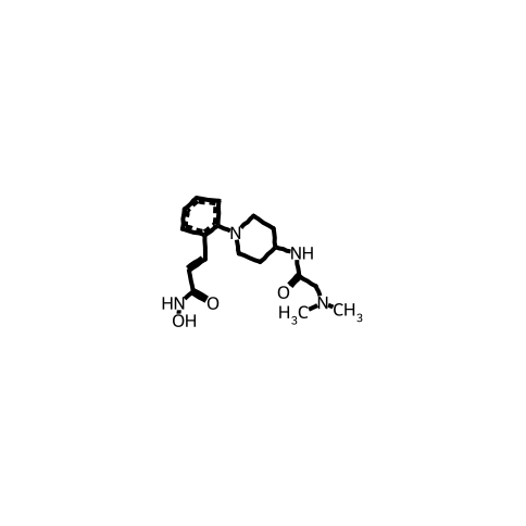 CN(C)CC(=O)NC1CCN(c2ccccc2C=CC(=O)NO)CC1